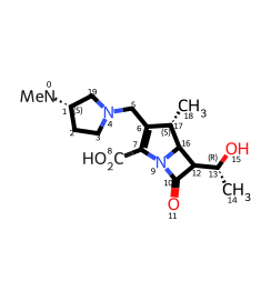 CN[C@H]1CCN(CC2=C(C(=O)O)N3C(=O)C([C@@H](C)O)C3[C@H]2C)C1